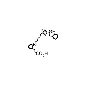 O=C(O)CCc1ccccc1OCCCCCc1ncc(C(O)Cc2ccccc2)s1